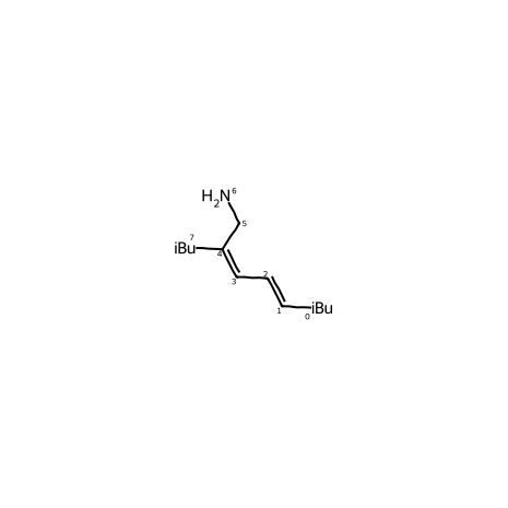 CCC(C)C=CC=C(CN)C(C)CC